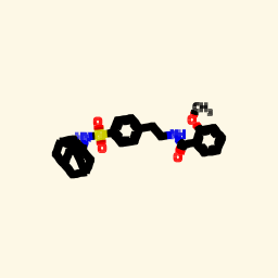 COc1ccccc1C(=O)NCCc1ccc(S(=O)(=O)NC23CC4CC(CC(C4)C2)C3)cc1